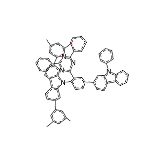 Cc1cc(C)cc(-c2ccc3c4ccc(-c5cc(C)cc(C)c5)cc4n(-c4ccc(-c5ccc6c7ccccc7n(-c7ccccc7)c6c5)cc4-c4nc(-c5ccccc5)nc(-c5ccccc5)n4)c3c2)c1